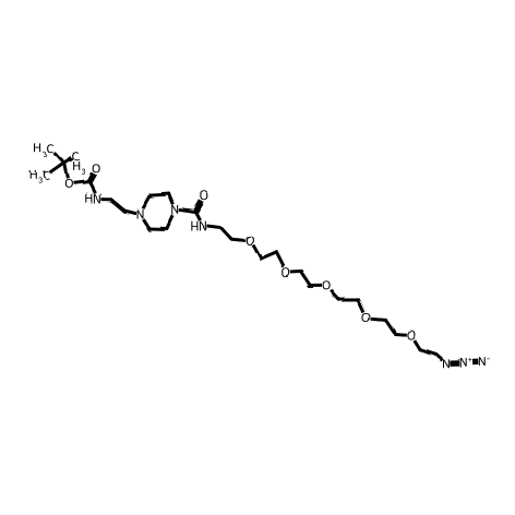 CC(C)(C)OC(=O)NCCN1CCN(C(=O)NCCOCCOCCOCCOCCOCCN=[N+]=[N-])CC1